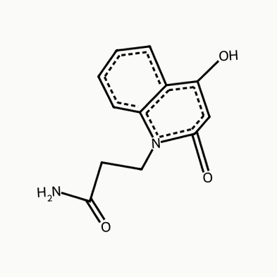 NC(=O)CCn1c(=O)cc(O)c2ccccc21